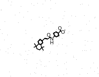 COC(=O)c1ccc(NC(=O)C=Cc2ccc3c(c2)C(C)(C)CCC3(C)C)cc1